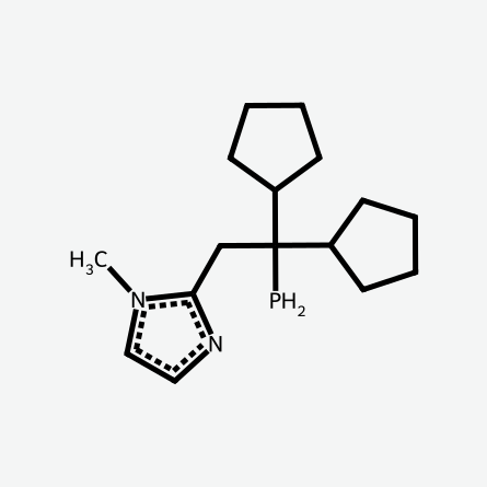 Cn1ccnc1CC(P)(C1CCCC1)C1CCCC1